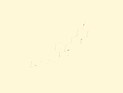 C=C1/C(=C\C=C2/CCC[C@]3(C)[C@@H]([C@H](C)/C=C/[C@@H](O)C4(C(=O)OCC)CC4)CC[C@@H]23)C[C@@H](O)C[C@@H]1O